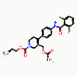 C=CCOC(=O)N1CCC(c2ccc(NC(=O)c3c(F)cccc3F)cc2)=C(COC(C)=O)C1